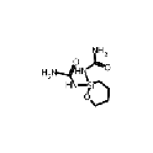 NC(=O)N[Si]1(NC(N)=O)CCCCO1